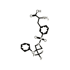 NC(Cc1cccc(S(=O)(=O)N2CC(Oc3ccccc3)(C(F)(F)F)C2)c1)C(=O)O